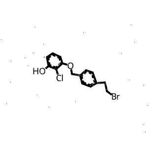 Oc1[c]ccc(OCc2ccc(CCBr)cc2)c1Cl